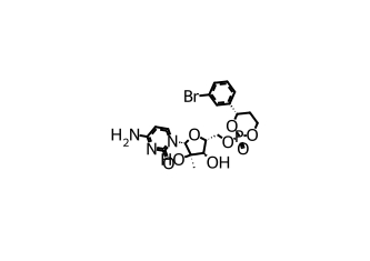 C[C@@]1(O)[C@H](O)[C@@H](COP2(=O)OCC[C@@H](c3cccc(Br)c3)O2)O[C@H]1n1ccc(N)nc1=O